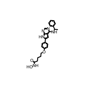 CC(Nc1ncnc2[nH]c(-c3ccc(OCCCCC(=O)NO)cc3)cc12)c1ccccc1